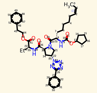 C/C=C\CCCCC[C@H](NC(=O)OC1CCCC1)C(=O)N1C[C@H](n2nnc(-c3ccccc3)n2)C[C@H]1C(=O)N[C@@H](CC)C(=O)OCCc1ccccc1